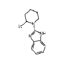 CCC1CCCCN1c1nc2ccccc2[nH]1